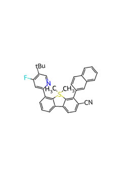 CC(C)(C)c1cnc(-c2cccc3c2S(C)(C)c2c-3ccc(C#N)c2-c2ccc3ccccc3c2)cc1F